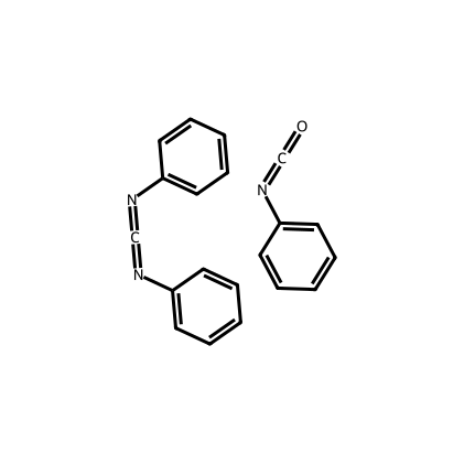 C(=Nc1ccccc1)=Nc1ccccc1.O=C=Nc1ccccc1